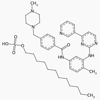 CCCCCCCCCCCCOS(=O)(=O)O.Cc1ccc(NC(=O)c2ccc(CN3CCN(C)CC3)cc2)cc1Nc1nccc(-c2cccnc2)n1